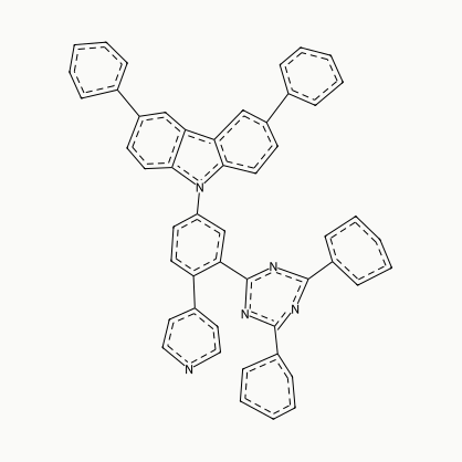 c1ccc(-c2ccc3c(c2)c2cc(-c4ccccc4)ccc2n3-c2ccc(-c3ccncc3)c(-c3nc(-c4ccccc4)nc(-c4ccccc4)n3)c2)cc1